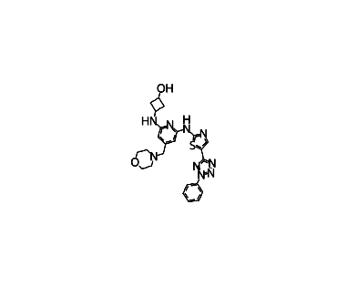 OC1CC(Nc2cc(CN3CCOCC3)cc(Nc3ncc(-c4nnn(-c5ccccc5)n4)s3)n2)C1